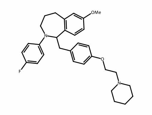 COc1ccc2c(c1)CCCN(c1ccc(F)cc1)C2Cc1ccc(OCCN2CCCCC2)cc1